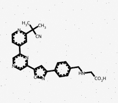 CC(C)(C#N)c1cc(-c2cncc(-c3cc(-c4ccc(CNCC(=O)O)cc4)no3)n2)ccn1